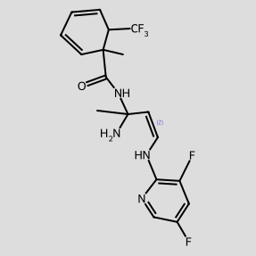 CC(N)(/C=C\Nc1ncc(F)cc1F)NC(=O)C1(C)C=CC=CC1C(F)(F)F